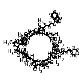 CC[C@@H]1NC(=O)[C@@H]2[C@@H]([C@H](C)CCCCCn3nnc4ccccc43)ON2C(=O)[C@H](C(C)C)N(C)C(=O)[C@@H]2CC(C)N(C(=O)[C@H](C)NC(=O)[C@H](CC(C)C)N(C)C(=O)[C@H](C(C)C)NC(=O)[C@H]([C@@H](C)OCCCCN3CCOCC3)N(C)C(=O)[C@@H](C)N(C)C1=O)[C@H](C)C(=O)N(C)[C@@H](CC(C)C)C(=O)N2C